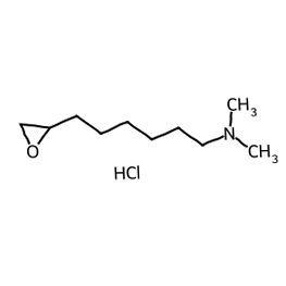 CN(C)CCCCCCC1CO1.Cl